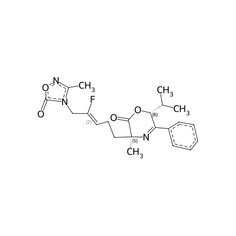 Cc1noc(=O)n1C/C(F)=C/CC[C@]1(C)N=C(c2ccccc2)[C@@H](C(C)C)OC1=O